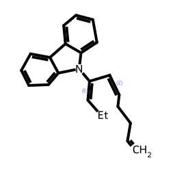 C=CCC/C=C\C(=C/CC)n1c2ccccc2c2ccccc21